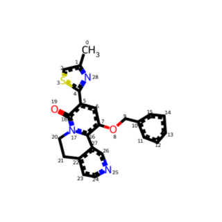 Cc1csc(-c2cc(OCc3ccccc3)c3n(c2=O)CCc2ccncc2-3)n1